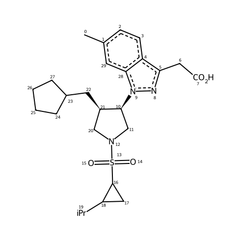 Cc1ccc2c(CC(=O)O)nn([C@H]3CN(S(=O)(=O)C4CC4C(C)C)C[C@H]3CC3CCCC3)c2c1